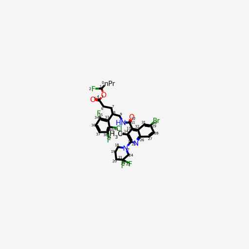 CCCC(F)OC(=O)CCC(CNC(=O)c1c(C)c(N2CCCC(F)(F)C2)nc2ccc(Br)cc12)c1c(F)ccc(F)c1Cl